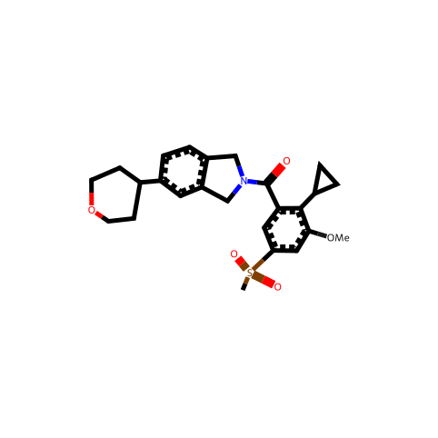 COc1cc(S(C)(=O)=O)cc(C(=O)N2Cc3ccc(C4CCOCC4)cc3C2)c1C1CC1